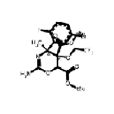 CC(C)(C)OC(=O)C1OC(N)=N[C@](C)(c2cc(Br)ccc2F)[C@]1(OCC(F)(F)F)C(=O)OC(C)(C)C